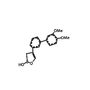 COc1ccc(-c2cccc(C3=COB(O)C3)c2)cc1OC